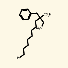 CC(C)CCCCCCCCC(CC(=O)O)(Cc1ccccc1)C(=O)O